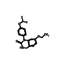 CCOc1cnc2c(c1)N(c1ccc(OC(F)F)cc1)C(=O)NC2